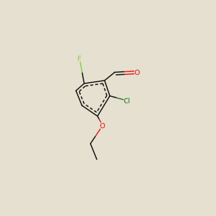 CCOc1ccc(F)c(C=O)c1Cl